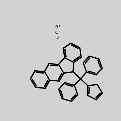 C1=CCC(C(c2ccccc2)(c2ccccc2)C2c3ccccc3-c3cc4ccccc4cc32)=C1.[Cl-].[Cl-].[Zr+2]